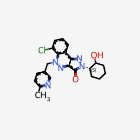 Cc1ccc(Cn2nc3c(=O)n([C@H]4CCCCC4O)nc-3c3cccc(Cl)c32)cn1